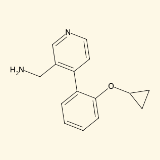 NCc1cnccc1-c1ccccc1OC1CC1